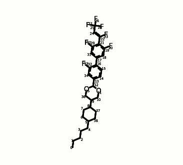 CCCCCC1CCC(C2COC(c3ccc(-c4cc(F)c(/C(F)=C/C(F)(F)F)c(F)c4)c(F)c3)OC2)CC1